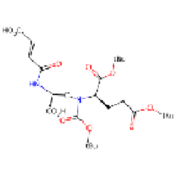 CC(C)(C)OC(=O)CC[C@H](C(=O)OC(C)(C)C)N(C[C@H](NC(=O)/C=C/C(=O)O)C(=O)O)C(=O)OC(C)(C)C